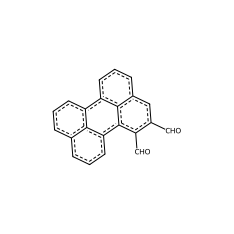 O=Cc1cc2cccc3c4cccc5cccc(c(c1C=O)c23)c54